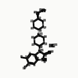 Cc1cc2c(cc1F)[nH]c(=O)n2C1CCN([C@H]2CC[C@H](OC(C)C)CC2)CC1.Cl